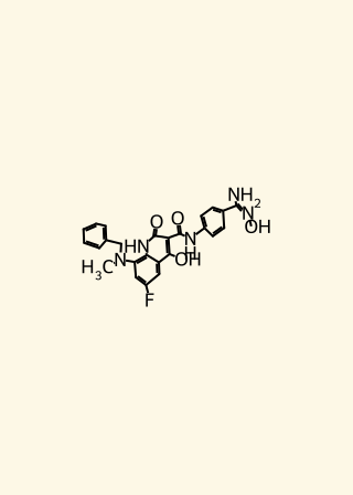 CN(Cc1ccccc1)c1cc(F)cc2c(O)c(C(=O)Nc3ccc(/C(N)=N\O)cc3)c(=O)[nH]c12